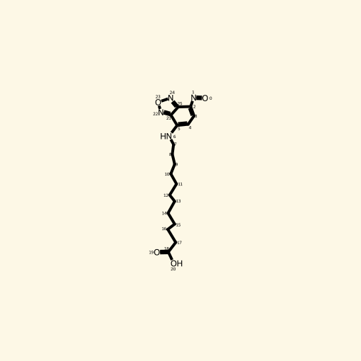 O=Nc1ccc(NCCCCCCCCCCCC(=O)O)c2nonc12